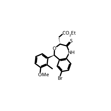 CCOC(=O)C[C@H]1O[C@H](c2cccc(OC)c2C)c2cc(Br)ccc2NC1=S